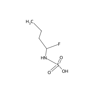 CCCC(F)NS(=O)(=O)O